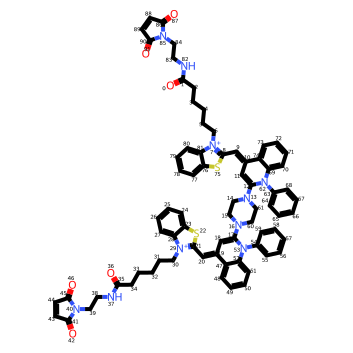 O=C(CCCCC[n+]1c(/C=C2\C=C(N3CCN(C4=C/C(=C\c5sc6ccccc6[n+]5CCCCCC(=O)NCCN5C(=O)C=CC5=O)c5ccccc5N4c4ccccc4)CC3)N(c3ccccc3)c3ccccc32)sc2ccccc21)NCCN1C(=O)C=CC1=O